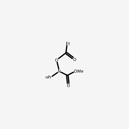 CCCN(OC(=O)CC)C(=O)OC